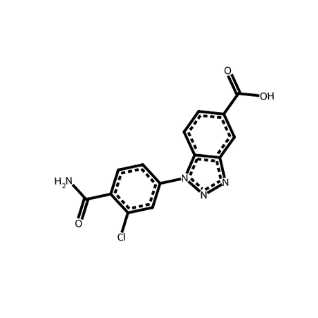 NC(=O)c1ccc(-n2nnc3cc(C(=O)O)ccc32)cc1Cl